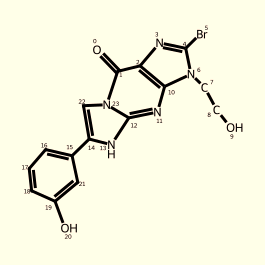 O=c1c2nc(Br)n(CCO)c2nc2[nH]c(-c3cccc(O)c3)cn12